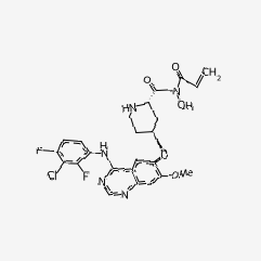 C=CC(=O)N(O)C(=O)[C@@H]1C[C@@H](Oc2cc3c(Nc4ccc(F)c(Cl)c4F)ncnc3cc2OC)CCN1